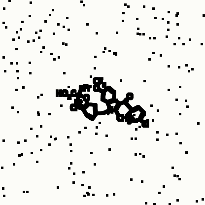 CCCC(CC)(Oc1cc(Cn2c(C)c(C(=O)c3ccc(Cl)cc3)c3ccc(OC(F)(F)F)cc32)ccc1Cl)C(=O)O